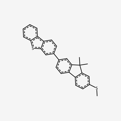 CSc1ccc2c(c1)C(C)(C)c1cc(-c3ccc4c(c3)sc3ccccc34)ccc1-2